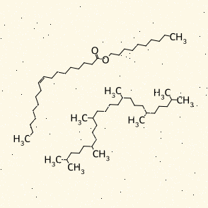 CC(C)CCCC(C)CCCC(C)CCCCC(C)CCCC(C)CCCC(C)C.CCCCCCCC/C=C\CCCCCCCC(=O)OCCCCCCCCCC